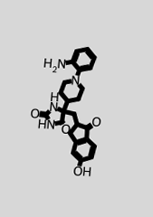 Nc1ccccc1N1CCC(C2(CC3Cc4cc(O)ccc4C3=O)NC(=O)NC2=O)CC1